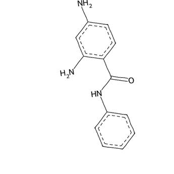 Nc1ccc(C(=O)Nc2ccccc2)c(N)c1